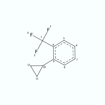 FC(F)(F)c1ccccc1[C]1CC1